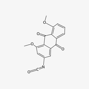 COc1cccc2c1C(=O)c1c(OC)cc(N=C=O)cc1C2=O